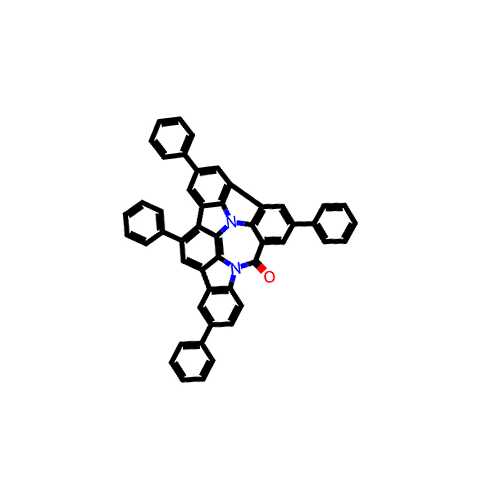 O=c1c2cc(-c3ccccc3)cc3c4cc(-c5ccccc5)cc5c6c(-c7ccccc7)cc7c8cc(-c9ccccc9)ccc8n1c7c6n(c23)c45